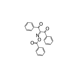 O=C(ON=C(C(=O)c1ccccc1)C(=O)c1ccccc1)c1ccccc1